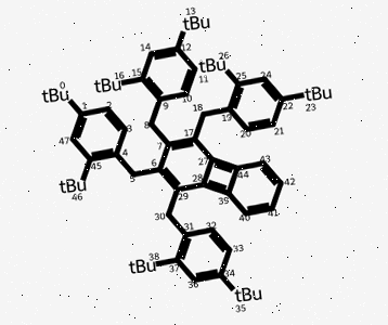 CC(C)(C)c1ccc(Cc2c(Cc3ccc(C(C)(C)C)cc3C(C)(C)C)c(Cc3ccc(C(C)(C)C)cc3C(C)(C)C)c3c(c2Cc2ccc(C(C)(C)C)cc2C(C)(C)C)=c2ccccc2=3)c(C(C)(C)C)c1